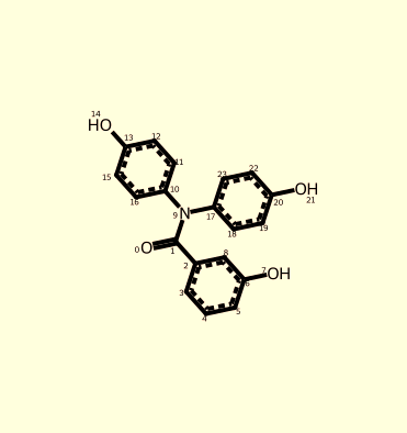 O=C(c1cccc(O)c1)N(c1ccc(O)cc1)c1ccc(O)cc1